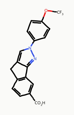 O=C(O)c1ccc2c(c1)-c1nn(-c3ccc(OC(F)(F)F)cc3)cc1C2